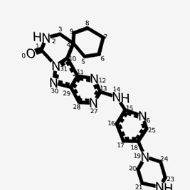 O=C1NCC2(CCCCC2)c2c3nc(Nc4ccc(N5CCNCC5)cn4)ncc3nn21